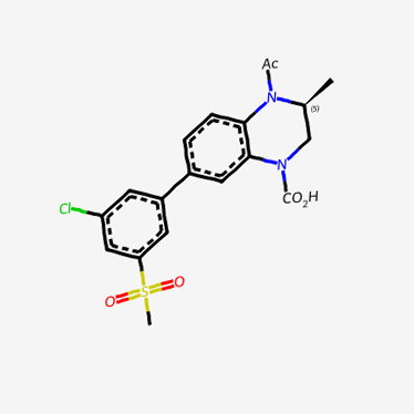 CC(=O)N1c2ccc(-c3cc(Cl)cc(S(C)(=O)=O)c3)cc2N(C(=O)O)C[C@@H]1C